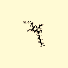 C=CC(=O)OC(CC(CCC)C(=O)OCCCCCCCCCCC)C(=O)OCCCCCC(C)C